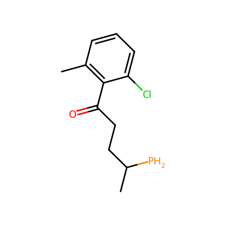 Cc1cccc(Cl)c1C(=O)CCC(C)P